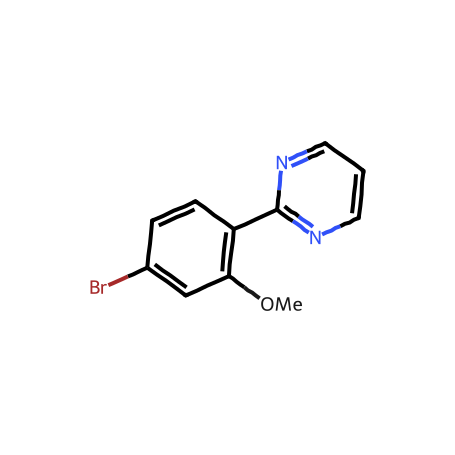 COc1cc(Br)ccc1-c1ncccn1